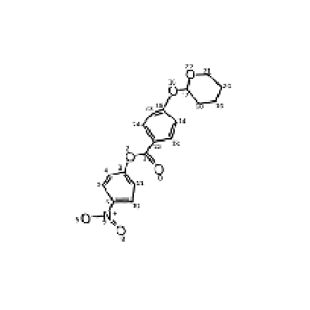 O=C(Oc1ccc([N+](=O)[O-])cc1)c1ccc(OC2CCCCO2)cc1